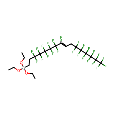 CCO[Si](CCC(F)(F)C(F)(F)C(F)(F)C(F)(F)C(F)(F)C(F)=CCC(F)(F)C(F)(F)C(F)(F)C(F)(F)C(F)(F)C(F)(F)F)(OCC)OCC